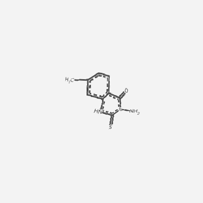 Cc1ccc2c(=O)n(N)c(=S)[nH]c2c1